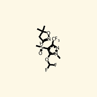 Cn1nc(C(F)(F)F)c([SH](C)(=O)C2=NOC(C)(C)C2)c1OC(F)F